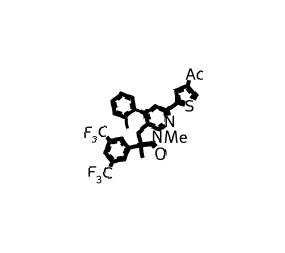 CNC(=O)C(C)(Cc1cnc(-c2cc(C(C)=O)cs2)cc1-c1ccccc1C)c1cc(C(F)(F)F)cc(C(F)(F)F)c1